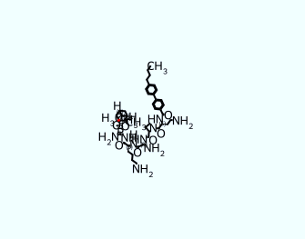 CCCCc1ccc(-c2ccc(C(=O)N[C@@H](CCN)C(=O)N3CCC3C(=O)N[C@@H](N)C(=O)N[C@@H](CCCCN)C(=O)N[C@@H](N)B3OC4C[C@@H]5C[C@@H](C5(C)C)[C@]4(C)O3)cc2)cc1